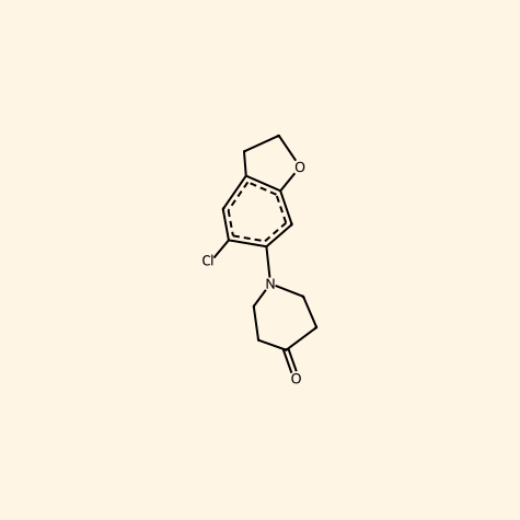 O=C1CCN(c2cc3c(cc2Cl)CCO3)CC1